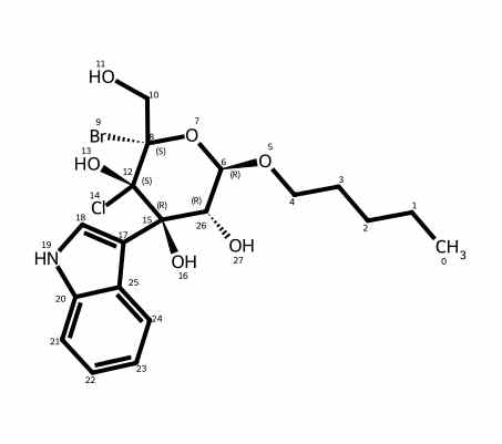 CCCCCO[C@@H]1O[C@](Br)(CO)[C@@](O)(Cl)[C@@](O)(c2c[nH]c3ccccc23)[C@H]1O